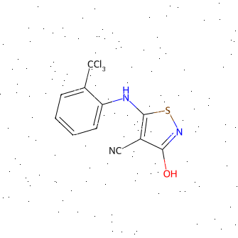 N#Cc1c(O)nsc1Nc1ccccc1C(Cl)(Cl)Cl